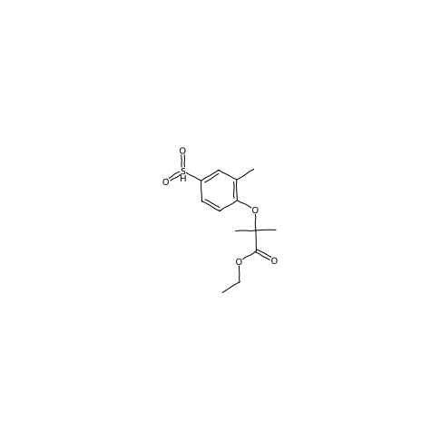 CCOC(=O)C(C)(C)Oc1ccc([SH](=O)=O)cc1C